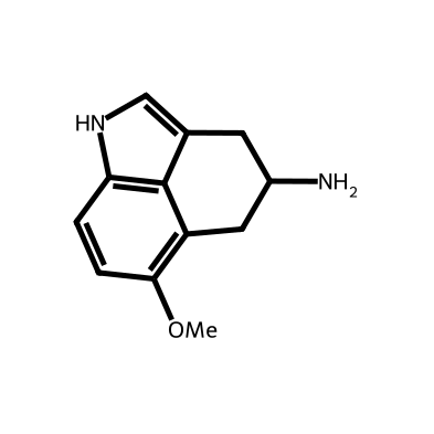 COc1ccc2[nH]cc3c2c1CC(N)C3